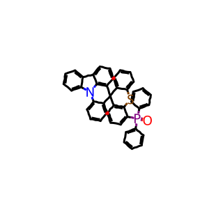 O=P(c1ccccc1)(c1ccccc1)c1cccc2c1Sc1ccccc1C21c2ccccc2-n2c3ccccc3c3cccc1c32